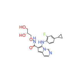 O=C(NOC[C@H](O)CO)c1cc2ccncn2c1Nc1ccc(C2CC2)cc1F